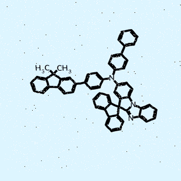 CC1(C)c2ccccc2-c2ccc(-c3ccc(N(c4ccc(-c5ccccc5)cc4)c4ccc5c(c4)C4(c6ccccc6-c6ccccc64)c4nc6ccccc6n4-5)cc3)cc21